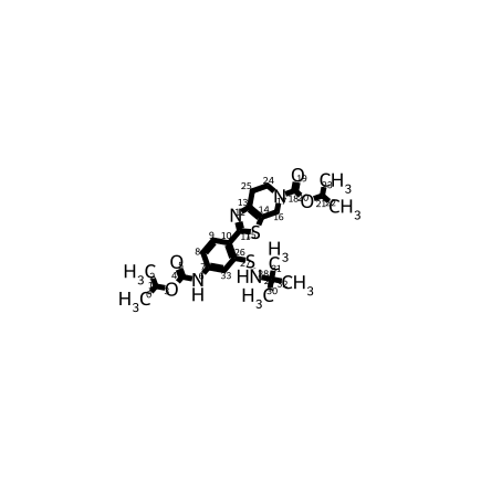 CC(C)OC(=O)Nc1ccc(-c2nc3c(s2)CN(C(=O)OC(C)C)CC3)c(SNC(C)(C)C)c1